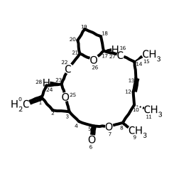 C=C1CC2CC(=O)OC(C)[C@@H](C)/C=C/[C@H](C)C[C@H]3CCCC(C[C@@H](C1)O2)O3